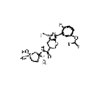 CC(C)n1nc(-c2cc(OC(F)F)ccc2F)c2c1CC(C(=O)NC1(C)CCS(O)(O)C1)CO2